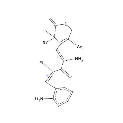 C=C(/C(N)=C/C1=C(C(C)=O)COC(=C)C1(C)CC)/C(=C\c1ccccc1N)CC